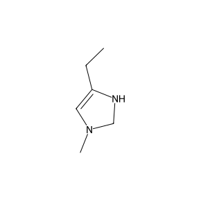 CCC1=CN(C)CN1